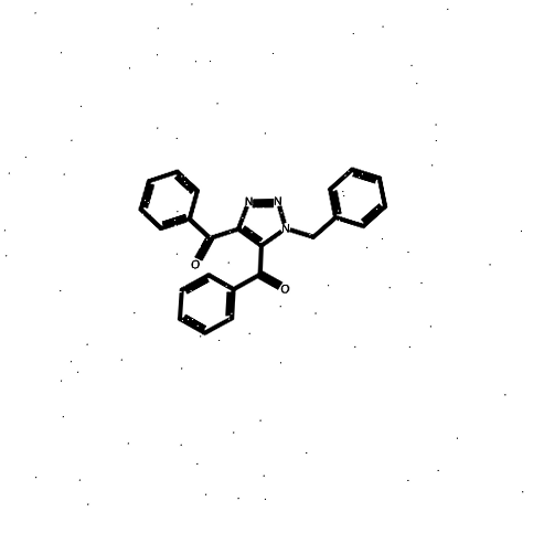 O=C(c1ccccc1)c1nnn(Cc2ccccc2)c1C(=O)c1ccccc1